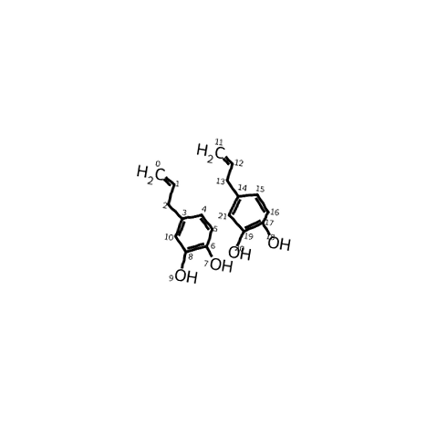 C=CCc1ccc(O)c(O)c1.C=CCc1ccc(O)c(O)c1